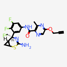 C#CCOc1cnc(C(=O)Nc2cc(F)c(F)c([C@@]3(CF)N=C(N)SC4C[C@H]43)c2)c(C)n1